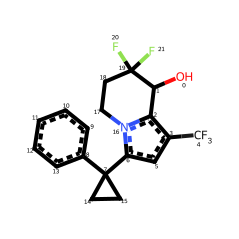 OC1c2c(C(F)(F)F)cc(C3(c4ccccc4)CC3)n2CCC1(F)F